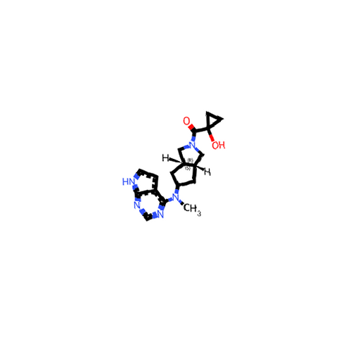 CN(c1ncnc2[nH]ccc12)C1C[C@@H]2CN(C(=O)C3(O)CC3)C[C@@H]2C1